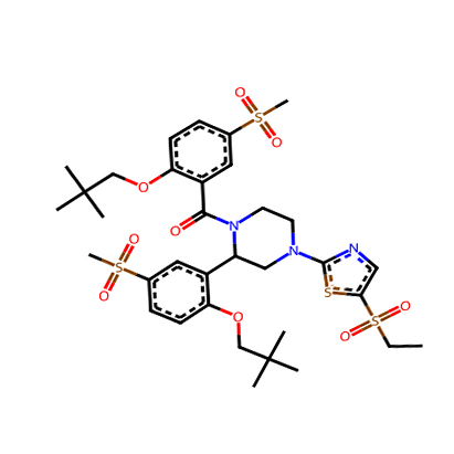 CCS(=O)(=O)c1cnc(N2CCN(C(=O)c3cc(S(C)(=O)=O)ccc3OCC(C)(C)C)C(c3cc(S(C)(=O)=O)ccc3OCC(C)(C)C)C2)s1